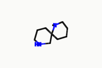 C1CCC2(CCCNC2)[N]C1